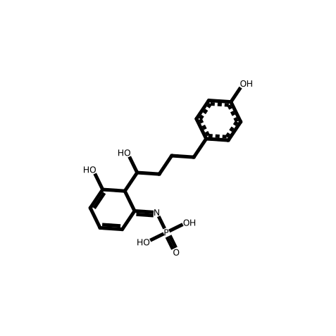 O=P(O)(O)N=C1C=CC=C(O)C1C(O)CCCc1ccc(O)cc1